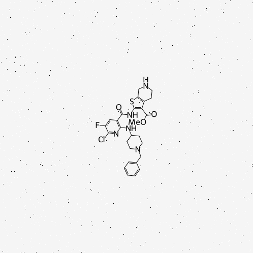 COC(=O)c1c(NC(=O)c2cc(F)c(Cl)nc2NC2CCN(Cc3ccccc3)CC2)sc2c1CCNC2